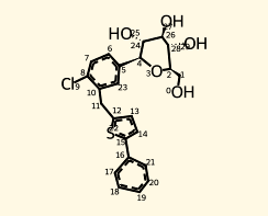 OC[C@H]1O[C@@H](c2ccc(Cl)c(Cc3ccc(-c4ccccc4)s3)c2)[C@H](O)[C@@H](O)[C@@H]1O